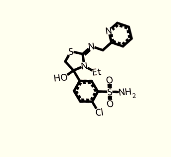 CCN1C(=NCc2ccccn2)SCC1(O)c1ccc(Cl)c(S(N)(=O)=O)c1